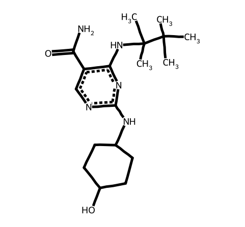 CC(C)(C)C(C)(C)Nc1nc(NC2CCC(O)CC2)ncc1C(N)=O